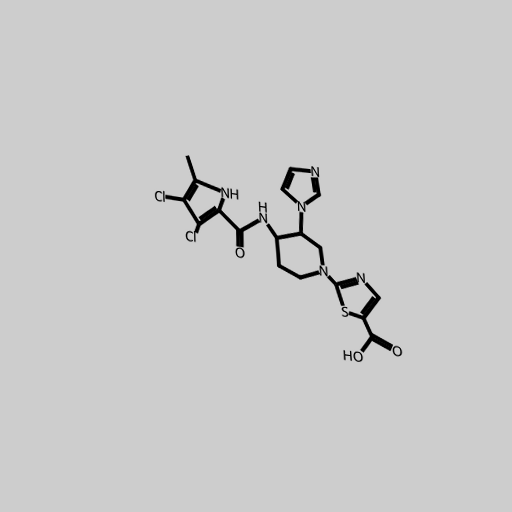 Cc1[nH]c(C(=O)NC2CCN(c3ncc(C(=O)O)s3)CC2n2ccnc2)c(Cl)c1Cl